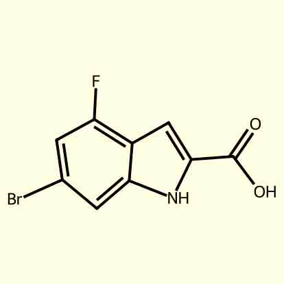 O=C(O)c1cc2c(F)cc(Br)cc2[nH]1